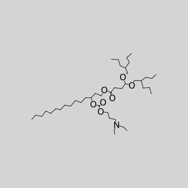 CCCCCCCCCCCCC(CCOC(=O)CCC(OCC(CCC)CCC)OCC(CCC)CCC)OC(=O)OCCCN(CC)CC